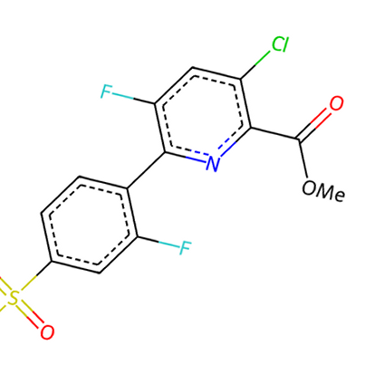 COC(=O)c1nc(-c2ccc(S(C)(=O)=O)cc2F)c(F)cc1Cl